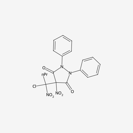 CCCC(Cl)([N+](=O)[O-])C1([N+](=O)[O-])C(=O)N(c2ccccc2)N(c2ccccc2)C1=O